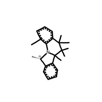 Cc1cccc2c1N1[C@@H](C)c3ccccc3C1(C)C(C)(C)C2(C)C